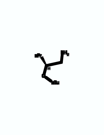 CCCCO[C@@H](CN)CCC